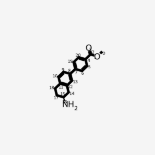 COC(=O)c1ccc(-c2ccc3c(c2)C[C@@H](N)CC3)cc1